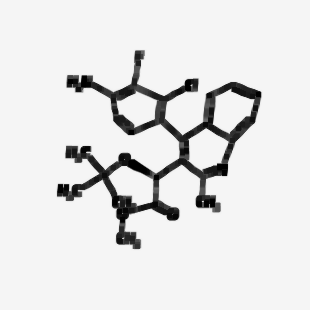 COC(=O)[C@@H](OC(C)(C)C)c1c(C)nc2ccccc2c1-c1ccc(N)c(F)c1Cl